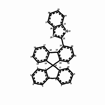 c1ccc2c(c1)-c1ccccc1C21c2ccccc2-c2c(-c3nc4ccccc4s3)cccc21